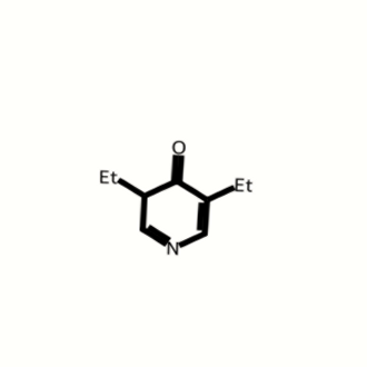 CCC1=CN=CC(CC)C1=O